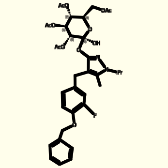 CC(=O)OC[C@H]1O[C@@](O)(Oc2nn(C(C)C)c(C)c2Cc2ccc(OCc3ccccc3)c(F)c2)[C@H](OC(C)=O)[C@@H](OC(C)=O)[C@@H]1OC(C)=O